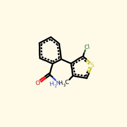 Cc1csc(Cl)c1-c1ccccc1C(N)=O